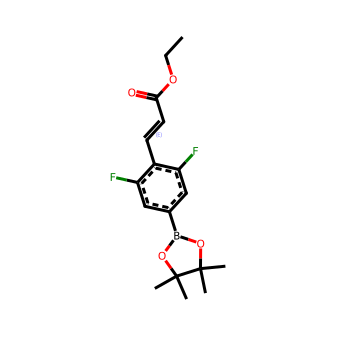 CCOC(=O)/C=C/c1c(F)cc(B2OC(C)(C)C(C)(C)O2)cc1F